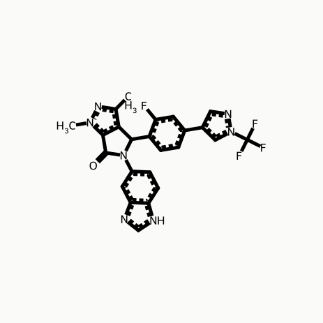 Cc1nn(C)c2c1C(c1ccc(-c3cnn(C(F)(F)F)c3)cc1F)N(c1ccc3[nH]cnc3c1)C2=O